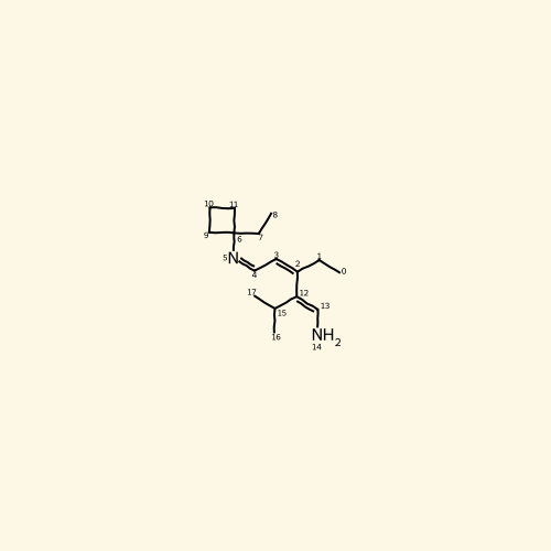 CCC(=C/C=N\C1(CC)CCC1)/C(=C/N)C(C)C